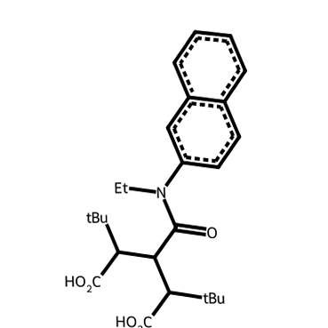 CCN(C(=O)C(C(C(=O)O)C(C)(C)C)C(C(=O)O)C(C)(C)C)c1ccc2ccccc2c1